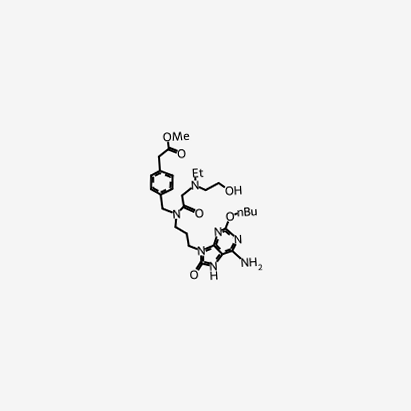 CCCCOc1nc(N)c2[nH]c(=O)n(CCCN(Cc3ccc(CC(=O)OC)cc3)C(=O)CN(CC)CCO)c2n1